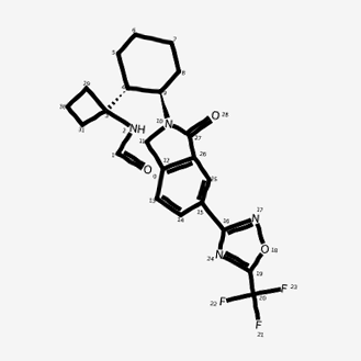 O=CNC1([C@@H]2CCCC[C@H]2N2Cc3ccc(-c4noc(C(F)(F)F)n4)cc3C2=O)CCC1